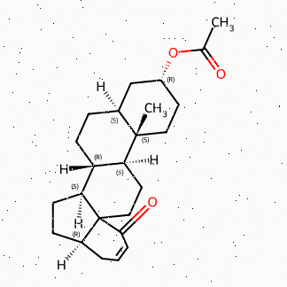 CC(=O)O[C@@H]1CC[C@@]2(C)[C@@H](CC[C@H]3[C@@H]4CC[C@@H]5CC=CC(=O)C54CC[C@@H]32)C1